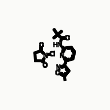 Cc1cc(-c2cccc(NC(=O)C(C)(C)C)n2)no1.O=C1CCC(=O)N1Cl